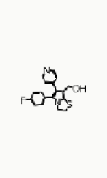 OCc1c(-c2ccncc2)c(-c2ccc(F)cc2)n2c1SCC2